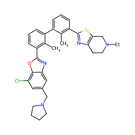 CCN1CCc2nc(-c3cccc(-c4cccc(-c5nc6cc(CN7CCCC7)cc(Cl)c6o5)c4C)c3C)sc2C1